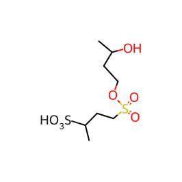 CC(O)CCOS(=O)(=O)CCC(C)S(=O)(=O)O